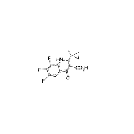 CC1(c2[nH]c3c(F)c(F)c(F)cc3c(=O)c2C(=O)O)CC1